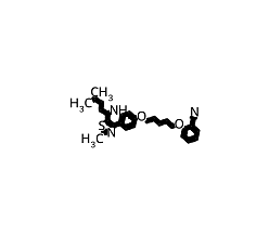 Cc1nc(-c2ccc(OCCCCCOc3ccccc3C#N)cc2)c(C(N)CCC(C)C)s1